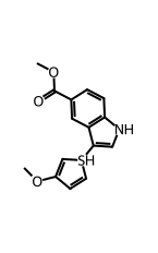 COC(=O)c1ccc2[nH]cc([SH]3C=CC(OC)=C3)c2c1